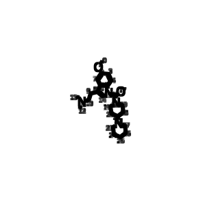 COc1ccc2c(c1)c(CCN(C)C)cn2C(=O)N1CCC(N2CCCCC2)CC1